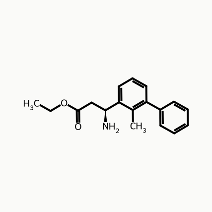 CCOC(=O)C[C@H](N)c1cccc(-c2ccccc2)c1C